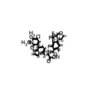 Cc1c(Cl)cc(-c2ccc(C[C@H](NC(=O)c3c(F)cc(N4CCOC[C@@H]4C(F)(F)F)cc3F)C(=O)O)n3ccnc23)c(=O)n1C